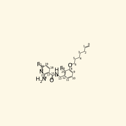 C=CCCCCCOc1cccc(CNC(=O)c2ccc(F)nc2N)c1F